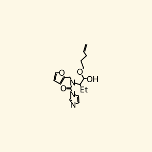 C=CCCCOC(O)C(CC)N(Cc1ccco1)C(=O)n1ccnc1